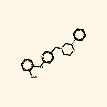 COc1ccccc1Nc1ccc(CN2CCO[C@@H](c3ccccc3)C2)cn1